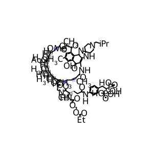 CCC(=O)OCOC(=O)N[C@@H](CCC(=O)Nc1ccc(CC(P(=O)(O)O)P(=O)(O)O)cc1)C(=O)N(C)CC(=O)O[C@@H]1[C@@H](C)[C@@H](O)[C@@H](C)[C@H](OC(C)=O)[C@H](C)[C@@H](OC)/C=C/O[C@@]2(C)Oc3c(C)c(O)c4c(c3C2=O)C2=NC3(CCN(CC(C)C)CC3)NC2=C(NC(=O)/C(C)=C\C=C\[C@@H]1C)C4=O